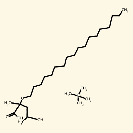 CCCCCCCCCCCCCCCCCCOC(C)(CC(C)O)C(=O)O.C[N+](C)(C)C